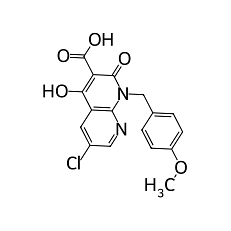 COc1ccc(Cn2c(=O)c(C(=O)O)c(O)c3cc(Cl)cnc32)cc1